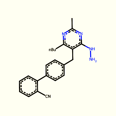 CCCCc1nc(C)nc(NN)c1Cc1ccc(-c2ccccc2C#N)cc1